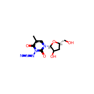 Cc1cn([C@@H]2O[C@H](CO)CC2O)c(=O)n(N=[N+]=[N-])c1=O